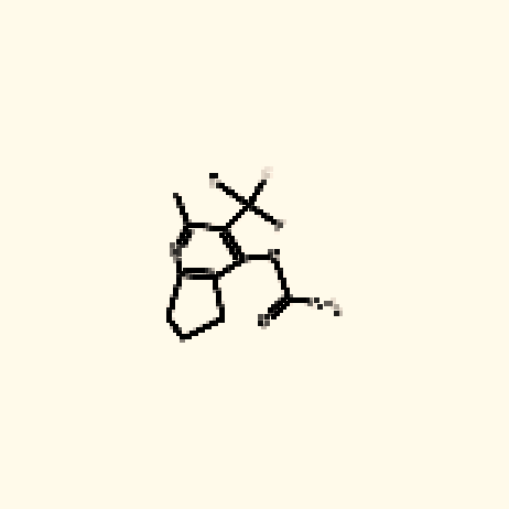 Cc1nc2c(c(OC(N)=O)c1C(F)(F)F)CCC2